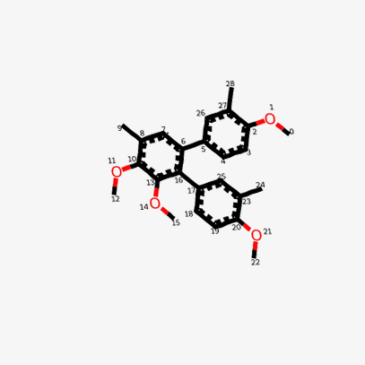 COc1ccc(-c2[c]c(C)c(OC)c(OC)c2-c2ccc(OC)c(C)c2)cc1C